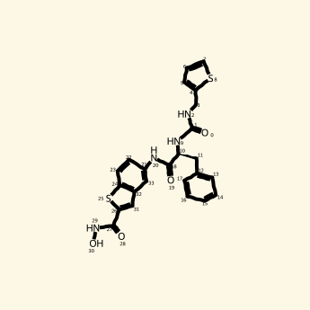 O=C(NCc1cccs1)N[C@@H](Cc1ccccc1)C(=O)Nc1ccc2sc(C(=O)NO)cc2c1